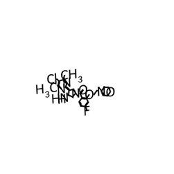 CC1=N/C(=C2\CN(C(=O)c3ccc(F)cc3OCCN3CCOCC3)CC2=N)NC(C)=C1Cl